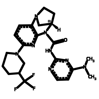 CN(C)c1ccnc(NC(=O)N2c3nc(N4CCCC(C(F)(F)F)C4)ccc3N3CC[C@H]2C3)n1